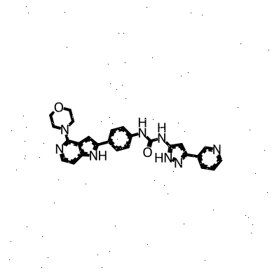 O=C(Nc1ccc(-c2cc3c(N4CCOCC4)nccc3[nH]2)cc1)Nc1cc(-c2cccnc2)n[nH]1